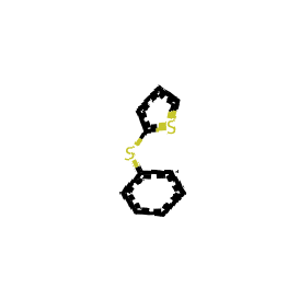 [c]1ccccc1Sc1cccs1